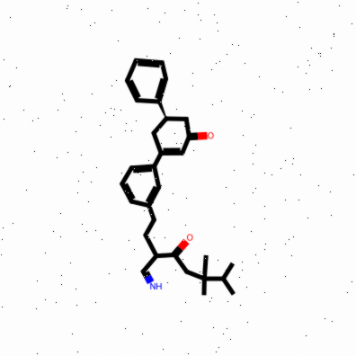 CC(C)C(C)(C)CC(=O)C(C=N)CCc1cccc(C2=CC(=O)C[C@H](c3ccccc3)C2)c1